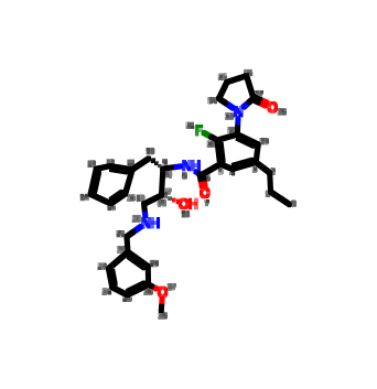 CCCc1cc(C(=O)N[C@@H](Cc2ccccc2)[C@H](O)CNCc2cccc(OC)c2)c(F)c(N2CCCC2=O)c1